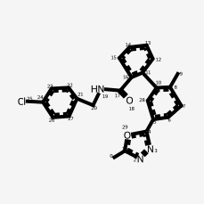 Cc1nnc(-c2ccc(C)c(-c3ccccc3C(=O)NCc3ccc(Cl)cc3)c2)o1